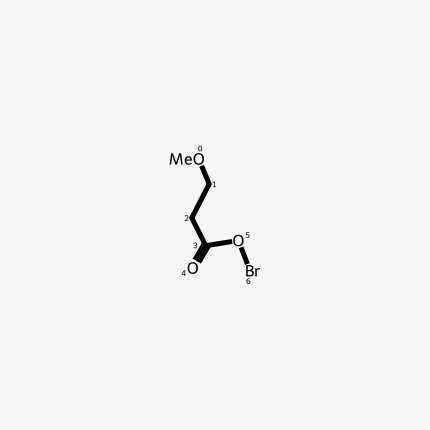 COCCC(=O)OBr